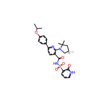 CC(C)Oc1ccc(-c2ccc(C(=O)NS(=O)(=O)c3ccc[nH]c3=O)c(N3C[C@@H](C)CC3(C)C)n2)cc1